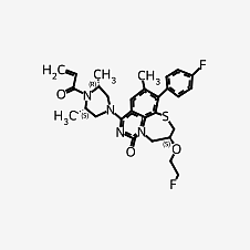 C=CC(=O)N1[C@H](C)CN(c2nc(=O)n3c4c(c(-c5ccc(F)cc5)c(C)cc24)SC[C@@H](OCCF)C3)C[C@@H]1C